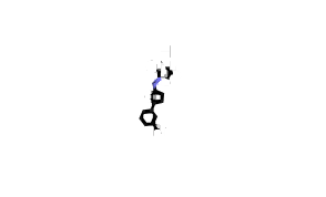 O=C1NC(=S)S/C1=C\c1ccc(-c2cccc(Br)c2)o1